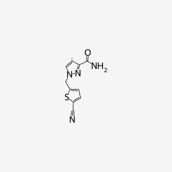 N#Cc1ccc(Cn2c[c]c(C(N)=O)n2)s1